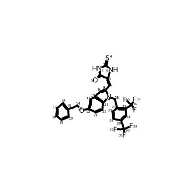 O=C1NC(=S)N/C1=C/c1cc2cc(OCc3ccccc3)ccc2n1Cc1ccc(C(F)(F)F)cc1C(F)(F)F